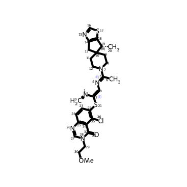 C=N/C(=C\N=C(/C)N1CCC2(CC1)Cc1ncsc1[C@@H]2C)Sc1ccc2ncn(CCOC)c(=O)c2c1Cl